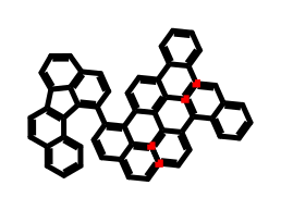 c1ccc(-c2c(-c3c(-c4ccc5cccc6c5c4-c4c-6ccc5ccccc45)ccc4ccccc34)ccc3c2ccc2ccccc23)c(-c2cccc3ccccc23)c1